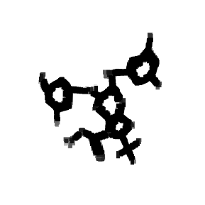 COC(=O)n1c(C(F)(F)F)nc2nc(Nc3cc(F)cc(F)c3)c(Nc3cc(F)cc(F)c3)nc21